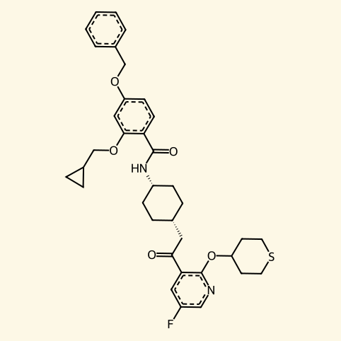 O=C(N[C@H]1CC[C@@H](CC(=O)c2cc(F)cnc2OC2CCSCC2)CC1)c1ccc(OCc2ccccc2)cc1OCC1CC1